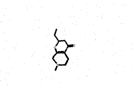 CCC1CC(=O)C2=C(CN(C)CC2)O1